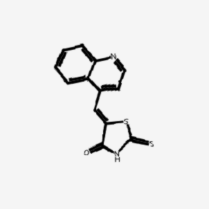 O=C1NC(=S)SC1=Cc1ccnc2ccccc12